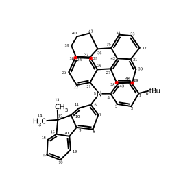 CC(C)(C)c1ccc(N(c2ccc3c(c2)C(C)(C)c2ccccc2-3)c2ccccc2-c2cccc3cccc(C4CCCCC4)c23)cc1